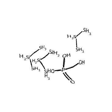 O=P(O)(O)O.[SiH3][SiH2][SiH3].[SiH3][SiH2][SiH3].[SiH3][SiH2][SiH3]